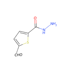 NNC(=O)c1ccc(C=O)s1